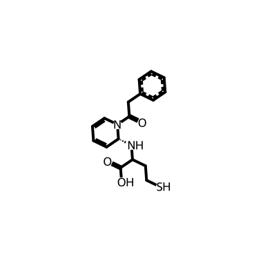 O=C(O)C(CCS)N[C@@H]1C=CC=CN1C(=O)Cc1ccccc1